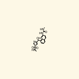 CNC(=O)Nc1ccc2cccc(C(O)c3cn(S(=O)(=O)NC)cn3)c2c1